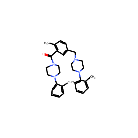 Cc1ccc(CN2CCN(c3ccccc3C)CC2)cc1C(=O)N1CCN(c2ccccc2C=O)CC1